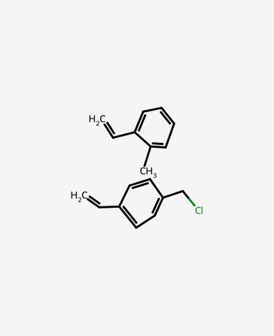 C=Cc1ccc(CCl)cc1.C=Cc1ccccc1C